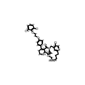 COCCCc1cc(CN(C(=O)C2=C(c3ccc(OCCOc4c(Cl)cccc4Cl)cc3)CCNC2COCOC)C2CC2)c(Cl)cn1